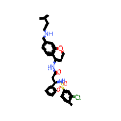 Cc1ccc(S(=O)(=O)NC(CC(=O)NC2CCOc3cc(CNCCC(C)C)ccc32)c2ccccc2)cc1Cl